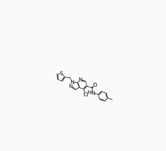 Cc1ccc(NC(=O)c2cnc3c(cnn3Cc3cccs3)c2Cl)cc1